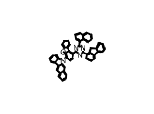 c1ccc2c(c1)Cc1c(-c3nc(-c4cccc5ccccc45)nc(-c4ccc(-n5c6ccccc6c6cc7ccccc7cc65)c5oc6ccccc6c45)n3)cccc1-2